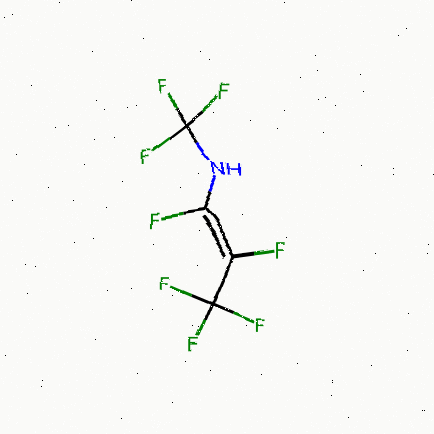 FC(NC(F)(F)F)=C(F)C(F)(F)F